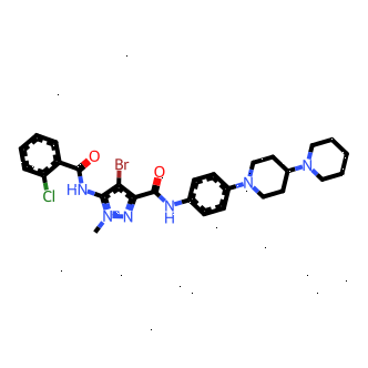 Cn1nc(C(=O)Nc2ccc(N3CCC(N4CCCCC4)CC3)cc2)c(Br)c1NC(=O)c1ccccc1Cl